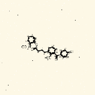 Cc1c(CCCC(=O)Oc2ccccc2C(=O)O)cccc1C(=O)c1ccc(Cl)cc1